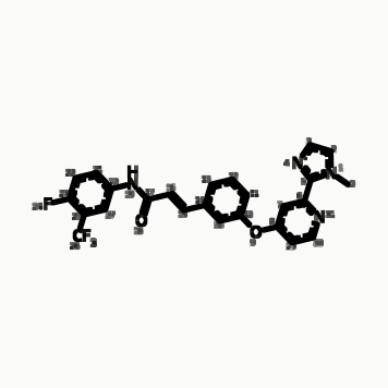 Cn1ccnc1-c1cc(Oc2cccc(C=CC(=O)Nc3ccc(F)c(C(F)(F)F)c3)c2)ccn1